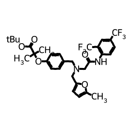 Cc1ccc(CN(CC(=O)Nc2ccc(C(F)(F)F)cc2C(F)(F)F)Cc2ccc(OC(C)(C)C(=O)OC(C)(C)C)cc2)o1